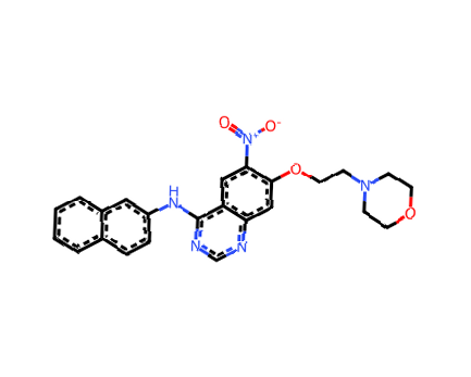 O=[N+]([O-])c1cc2c(Nc3ccc4ccccc4c3)ncnc2cc1OCCN1CCOCC1